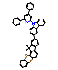 CC1(C)c2cc(-c3ccc4c(c3)c3ccccc3n4-c3cc(-c4ccccc4)cc(-c4ccccc4)n3)ccc2-c2ccc3c(c21)Sc1ccccc1S3